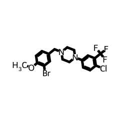 COc1ccc(CN2CCN(c3ccc(Cl)c(C(F)(F)F)c3)CC2)cc1Br